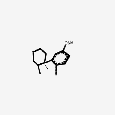 COc1ccc(C)c([C@]2(C)CCCCC2C)c1